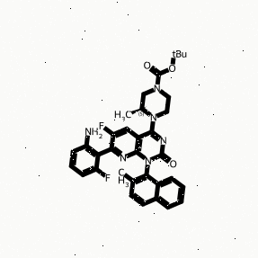 Cc1ccc2ccccc2c1-n1c(=O)nc(N2CCN(C(=O)OC(C)(C)C)C[C@@H]2C)c2cc(F)c(-c3c(N)cccc3F)nc21